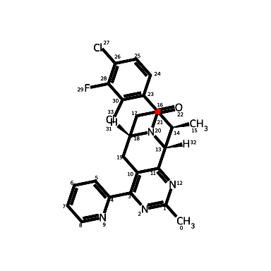 Cc1nc(-c2ccccn2)c2c(n1)[C@H]1[C@H](C)CC[C@@H](C2)N1C(=O)c1ccc(Cl)c(F)c1Cl